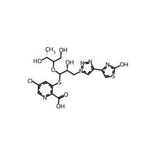 C[C@@H](O)C(CO)OC(Sc1cc(Cl)cnc1C(=O)O)[C@@H](O)Cn1cc(-c2csc(O)n2)nn1